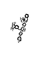 CN1CCN(C2CCN(C(=O)C(CC(=O)N3CCC(N4CCc5ccccc5NC4=O)CC3)Cc3ccc(C(F)(F)F)c(C(F)(F)F)c3)CC2)CC1